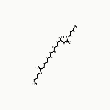 CC(C)CCCOC(=O)CCCCCCCCCCC(CC(=O)OCCCC(C)C)C(C)C